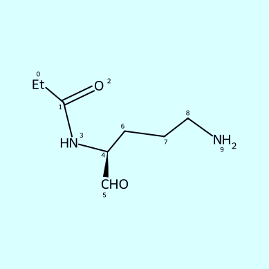 CCC(=O)N[C@H](C=O)CCCN